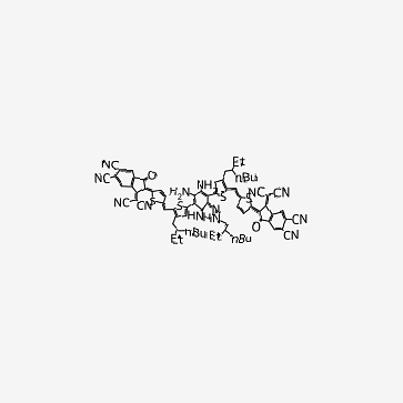 CCCCC(CC)CN/N=C1\C(=N)C(c2cc(CC(CC)CCCC)c(/C=c3\cc/c(=C4\C(=O)c5cc(C#N)c(C#N)cc5C4=C(C#N)C#N)s3)s2)=C(N)C(N)=C1c1cc(CC(CC)CCCC)c(/C=c2\cc/c(=C3\C(=O)c4cc(C#N)c(C#N)cc4C3=C(C#N)C#N)s2)s1